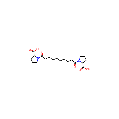 O=C(O)C1CCCN1C(=O)CCCCCCCCC(=O)N1CCCC1C(=O)O